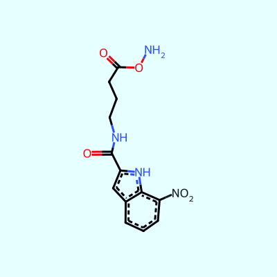 NOC(=O)CCCNC(=O)c1cc2cccc([N+](=O)[O-])c2[nH]1